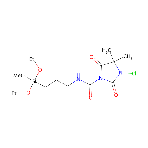 CCO[Si](CCCNC(=O)N1C(=O)N(Cl)C(C)(C)C1=O)(OC)OCC